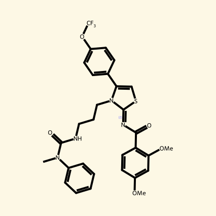 COc1ccc(C(=O)/N=c2\scc(-c3ccc(OC(F)(F)F)cc3)n2CCCNC(=O)N(C)c2ccccc2)c(OC)c1